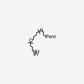 CCCC(C)CCN(C)C(C)(C)CCCCOC(C)(C)CCCNC(C)C